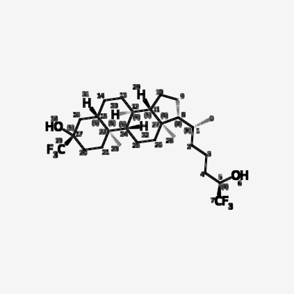 C[C@H](CCC[C@@H](O)C(F)(F)F)[C@H]1CC[C@H]2[C@@H]3CC[C@H]4C[C@](O)(C(F)(F)F)CC[C@]4(C)[C@H]3CC[C@]12C